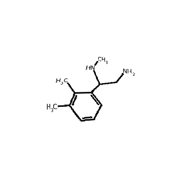 CNC(CN)c1cccc(C)c1C